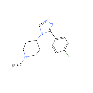 CCOC(=O)N1CCC(n2cnnc2-c2ccc(Cl)cc2)CC1